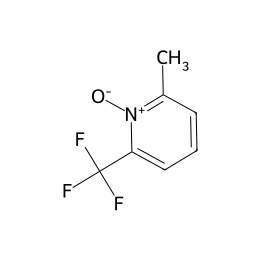 Cc1cccc(C(F)(F)F)[n+]1[O-]